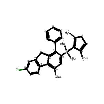 CCC[CH2][Ti]([CH2]CCC)([C]1=C(C)CC=C1C(C)(C)C)[c]1cc(OC)c2c(c1-c1ccccc1)Cc1cc(Cl)ccc1-2